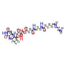 Cc1cc2nc3c(=O)[nH]c(=O)nc-3n(CC(O)C(O)C(O)COC(=O)CCC(=O)NCCCNC(=O)CCCCCN(C)CCCN(C)C)c2cc1C